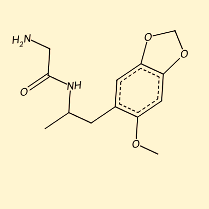 COc1cc2c(cc1CC(C)NC(=O)CN)OCO2